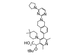 Cc1nc(C)c(C(OC(C)(C)C)C(=O)O)c(N2CCC(C)(C)CC2)c1-c1ccc2c(c1)CCN(c1nccc(N3CCCC3)n1)C2